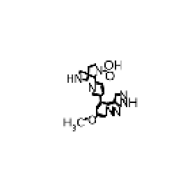 CCOc1cc(-c2ccc(C3N(C(=O)O)CCC34CNC4)nc2)c2c3cn[nH]c3nn2c1